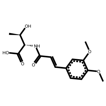 COc1ccc(/C=C/C(=O)N[C@H](C(=O)O)[C@@H](C)O)cc1OC